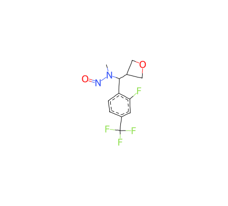 CN(N=O)C(c1ccc(C(F)(F)F)cc1F)C1COC1